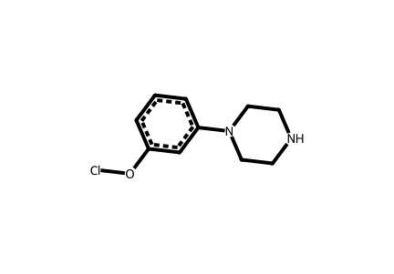 ClOc1cccc(N2CCNCC2)c1